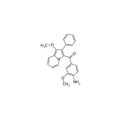 COc1cc(C(=O)c2c(-c3ccccc3)c(OC)c3ccccn23)ccc1N